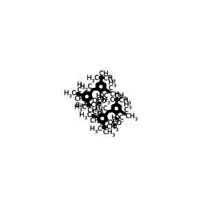 CC1c2cc(C(C)(C)C)cc(C(C)(C)C)c2OP(=O)([O-])Oc2c1cc(C(C)(C)C)cc2C(C)(C)C.CC1c2cc(C(C)(C)C)cc(C(C)(C)C)c2OP(=O)([O-])Oc2c1cc(C(C)(C)C)cc2C(C)(C)C.[Ba+2]